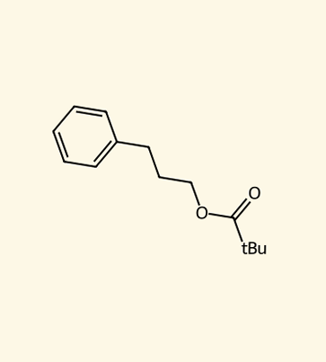 CC(C)(C)C(=O)OCCCc1ccccc1